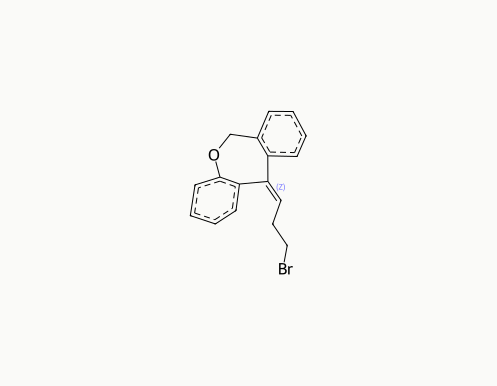 BrCC/C=C1/c2ccccc2COc2ccccc21